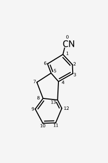 N#Cc1ccc2c(c1)Cc1ccccc1-2